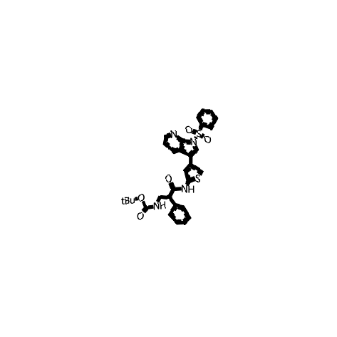 CC(C)(C)OC(=O)NCC(C(=O)Nc1cc(-c2cn(S(=O)(=O)c3ccccc3)c3ncccc23)cs1)c1ccccc1